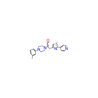 Cc1cccc(N2CCN(C(=C=O)Cc3csc(-c4ccncc4)n3)CC2)c1